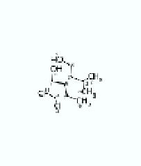 CC(C)CCO.CCCCO.ClCCl